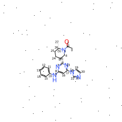 CC(=O)N1C[C@H](c2nc(Nc3ccccc3)cc(-n3ccnc3)n2)CC[C@@H]1C